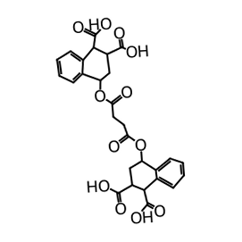 O=C(CCC(=O)OC1CC(C(=O)O)C(C(=O)O)c2ccccc21)OC1CC(C(=O)O)C(C(=O)O)c2ccccc21